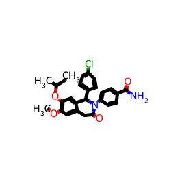 CCC(C)Oc1cc2c(cc1OC)CC(=O)N(c1ccc(C(N)=O)cc1)C2c1ccc(Cl)cc1